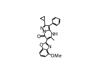 COc1cccc2oc(-c3c(C)[nH]c4c(-c5ccccc5)c(C5CC5)nn4c3=O)nc12